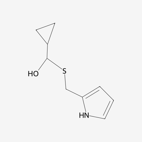 OC(SCc1ccc[nH]1)C1CC1